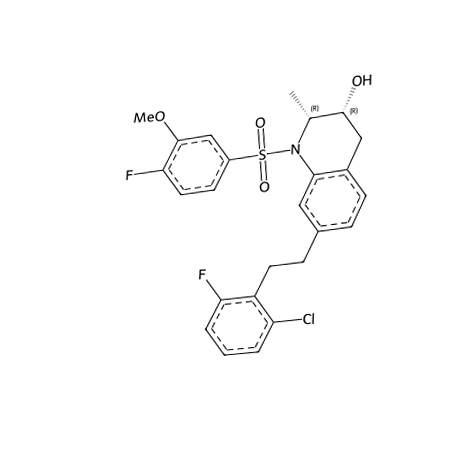 COc1cc(S(=O)(=O)N2c3cc(CCc4c(F)cccc4Cl)ccc3C[C@@H](O)[C@H]2C)ccc1F